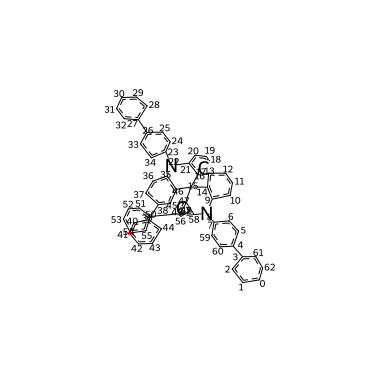 c1ccc(-c2ccc(N3c4ccccc4C4(c5ccccc5N(c5ccc(-c6ccccc6)cc5)c5ccc(-c6ccccc6)cc54)c4cc(-c5ccccc5)ccc43)cc2)cc1